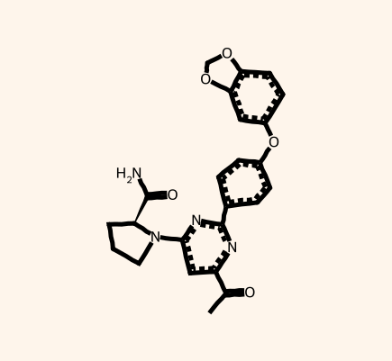 CC(=O)c1cc(N2CCC[C@H]2C(N)=O)nc(-c2ccc(Oc3ccc4c(c3)OCO4)cc2)n1